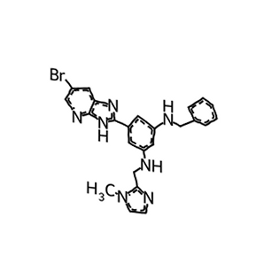 Cn1ccnc1CNc1cc(NCc2ccccc2)cc(-c2nc3cc(Br)cnc3[nH]2)c1